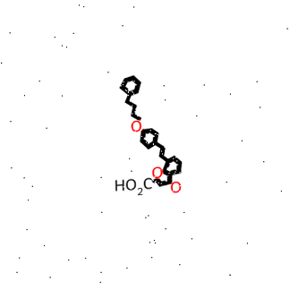 O=C(O)c1cc(=O)c2cccc(C=Cc3ccc(OCCCCc4ccccc4)cc3)c2o1